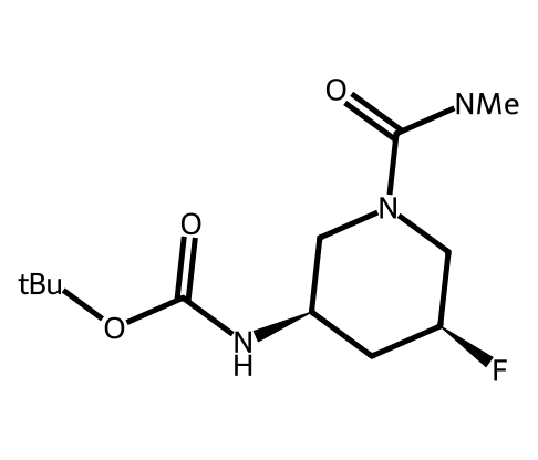 CNC(=O)N1C[C@@H](F)C[C@@H](NC(=O)OC(C)(C)C)C1